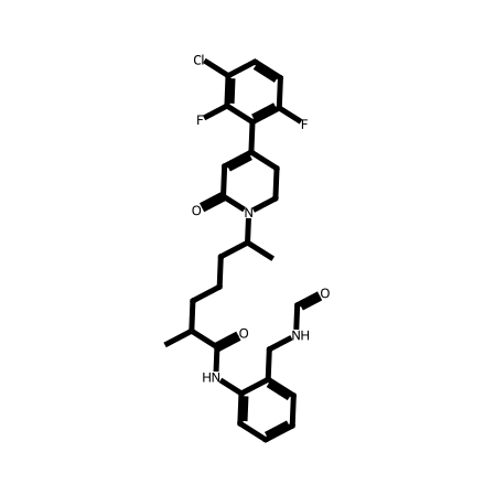 CC(CCCC(C)N1CCC(c2c(F)ccc(Cl)c2F)=CC1=O)C(=O)Nc1ccccc1CNC=O